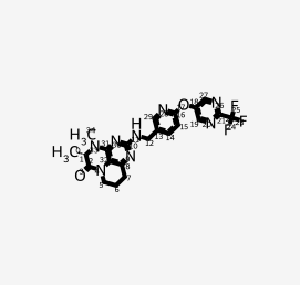 C[C@H]1C(=O)N2CCCc3nc(NCc4ccc(Oc5cnc(C(F)(F)F)nc5)nc4)nc(c32)N1C